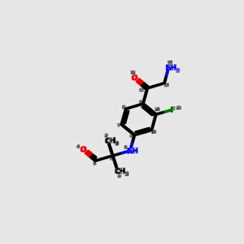 CC(C)(C=O)Nc1ccc(C(=O)CN)c(F)c1